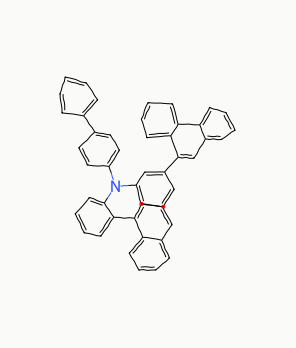 c1ccc(-c2ccc(N(c3cccc(-c4cc5ccccc5c5ccccc45)c3)c3ccccc3-c3cccc4ccccc34)cc2)cc1